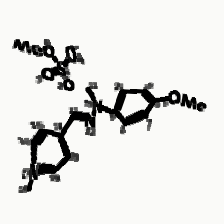 COS(=O)(=O)[O-].COc1ccc(N(C)N=Cc2cc[n+](C)cc2)cc1